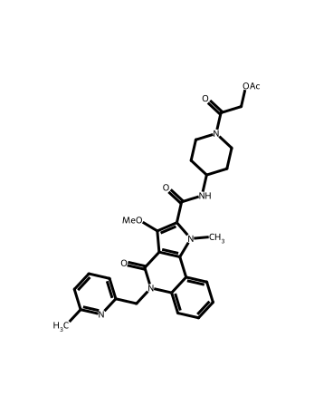 COc1c(C(=O)NC2CCN(C(=O)COC(C)=O)CC2)n(C)c2c1c(=O)n(Cc1cccc(C)n1)c1ccccc21